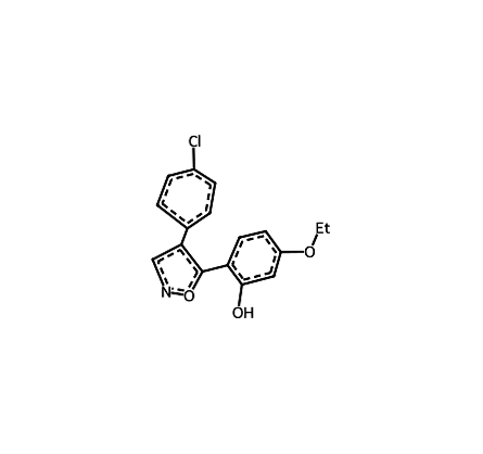 CCOc1ccc(-c2oncc2-c2ccc(Cl)cc2)c(O)c1